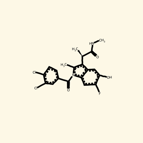 CNC(=O)[C@H](C)c1c(C)n(C(=O)c2ccc(Cl)c(Cl)c2)c2cc(F)c(O)cc12